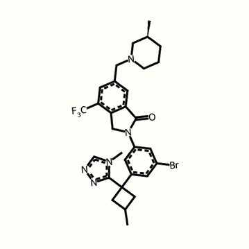 CC1CC(c2cc(Br)cc(N3Cc4c(cc(CN5CCC[C@H](C)C5)cc4C(F)(F)F)C3=O)c2)(c2nncn2C)C1